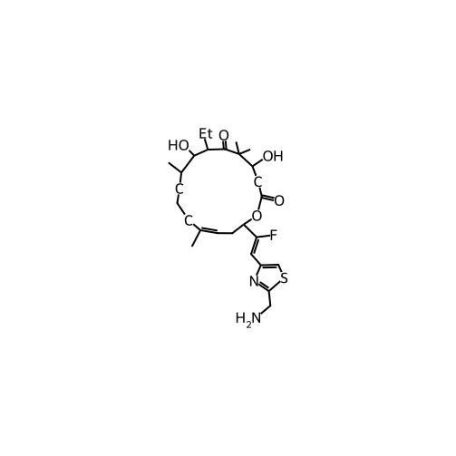 CCC1C(=O)C(C)(C)C(O)CC(=O)OC(C(F)=Cc2csc(CN)n2)CC=C(C)CCCC(C)C1O